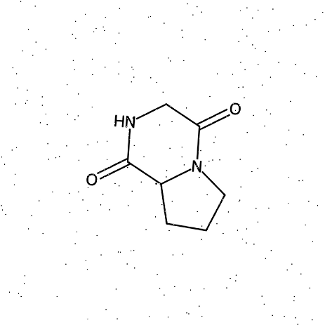 O=C1NCC(=O)N2CCC[C]12